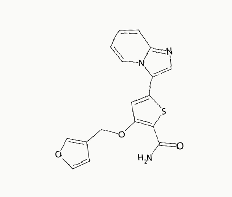 NC(=O)c1sc(-c2cnc3ccccn23)cc1OCc1ccoc1